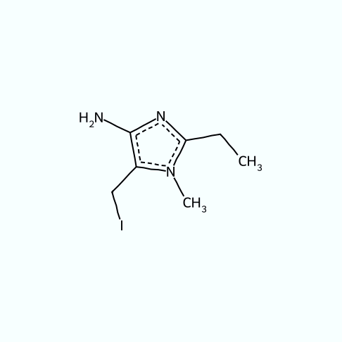 CCc1nc(N)c(CI)n1C